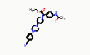 CCOC(=O)C(c1ccc(NC(C)=O)cc1)N1CCC(N2CCN(c3ccc(C#N)cc3)CC2)CC1